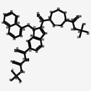 CC(C)(C)OC(=O)NC(=N)c1ccc2cc(C(=O)N3CCCN(C(=O)OC(C)(C)C)CC3)n(Cc3cccc4ccccc34)c2c1